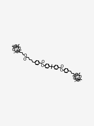 C[SiH]1O[SiH](C)O[Si](C)(CCCOC(=O)CCCCc2ccc(C(=O)Oc3ccc(C(C)(C)c4ccc(C(=O)Oc5ccc(CCC[Si]6(C)O[SiH](C)O[SiH](C)O[SiH](C)O6)cc5)cc4)cc3)cc2)O[SiH](C)O1